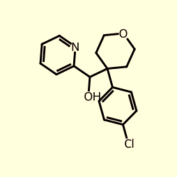 OC(c1ccccn1)C1(c2ccc(Cl)cc2)CCOCC1